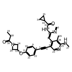 C=N/C(=C\c1c(C#Cc2ccc(OC3CN(C(=O)CC)C3)cc2)cnc(NC)c1C)NC(=O)C1CC1